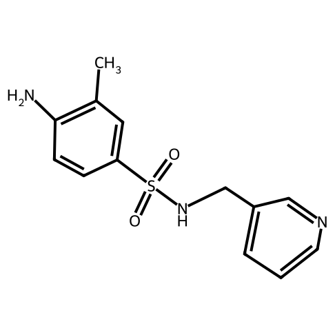 Cc1cc(S(=O)(=O)NCc2cccnc2)ccc1N